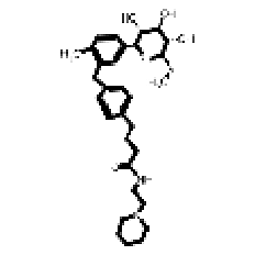 CS[C@H]1O[C@@H](c2ccc(C)c(Cc3ccc(CCCC(=O)NCCN4CCCCC4)cc3)c2)[C@H](O)[C@@H](O)[C@@H]1O